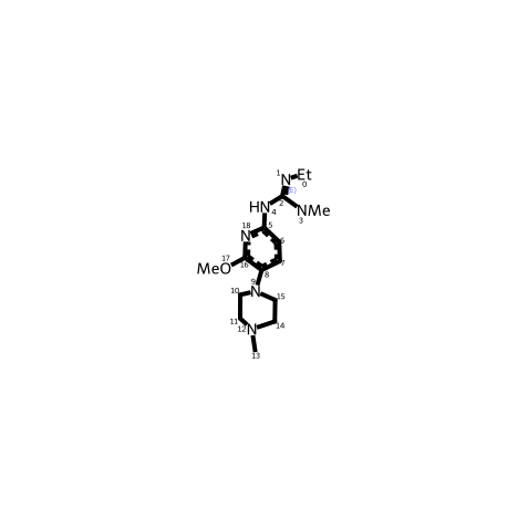 CC/N=C(\NC)Nc1ccc(N2CCN(C)CC2)c(OC)n1